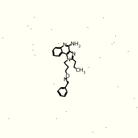 CCCc1nc2c(N)nc3ccccc3c2n1CCCO/N=C/c1ccccc1